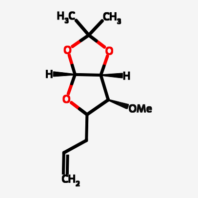 C=CCC1O[C@@H]2OC(C)(C)O[C@@H]2[C@H]1OC